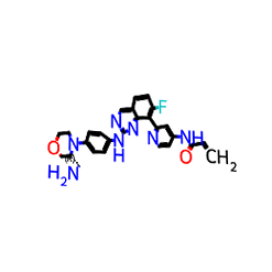 C=CC(=O)Nc1ccnc(-c2c(F)ccc3cnc(Nc4ccc(N5CCOC[C@H]5CN)cc4)nc23)c1